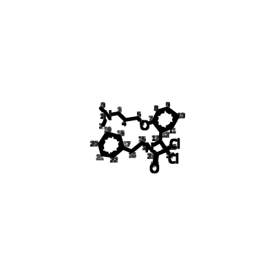 CN(C)CCCOc1ccccc1C1N(CCc2ccccc2)C(=O)C1(Cl)Cl